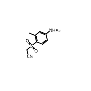 CC(=O)Nc1ccc(S(=O)(=O)CC#N)c(C)c1